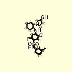 O=S(=O)(Nc1cccc(F)n1)c1cc(Cl)c(N[C@H]2CCCC[C@@H]2N2CCC(O)C2)cc1F